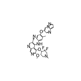 COc1ncc2ncc(C#N)c(Nc3ccc(Oc4cnc5ccnn5c4)c(C)c3)c2c1O[C@@H]1CCN(C)CC1(F)F